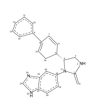 C=C1NC[C@@H](C2C=CC(c3ccccc3)=CC2)N1c1ccc2[nH]cnc2c1